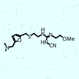 COCC/N=C(\NC#N)NCCSCc1ccc(CN(C)C)o1